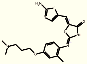 Cc1cc(OCCCN(C)C)ccc1/N=C1/NC(=O)/C(=C/c2cnc(N)s2)S1